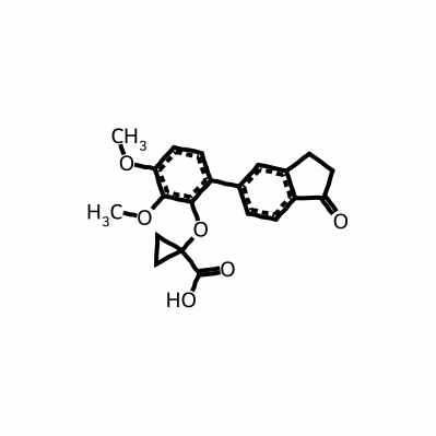 COc1ccc(-c2ccc3c(c2)CCC3=O)c(OC2(C(=O)O)CC2)c1OC